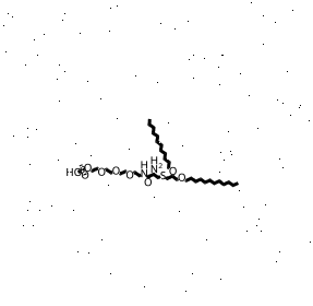 CCCCCCCCCCCCOCC(CSC[C@H](N)C(=O)NCCOCCOCCOCCOP(C)(=O)O)OCCCCCCCCCCCC